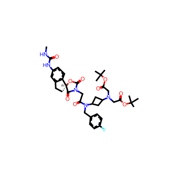 CNC(=O)Nc1ccc2c(c1)CC[C@@]21OC(=O)N(CC(=O)N(Cc2ccc(F)cc2)C2CC(N(CC(=O)OC(C)(C)C)CC(=O)OC(C)(C)C)C2)C1=O